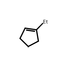 CCC1=CC[CH]C1